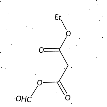 [CH2]COC(=O)CC(=O)O[C]=O